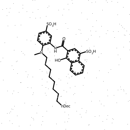 CCCCCCCCCCCCCCCCCCN(C)c1ccc(S(=O)(=O)O)cc1NC(=O)c1cc(S(=O)(=O)O)c2ccccc2c1O